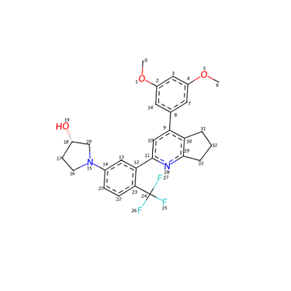 COc1cc(OC)cc(-c2cc(-c3cc(N4CC[C@H](O)C4)ccc3C(F)(F)F)nc3c2CCC3)c1